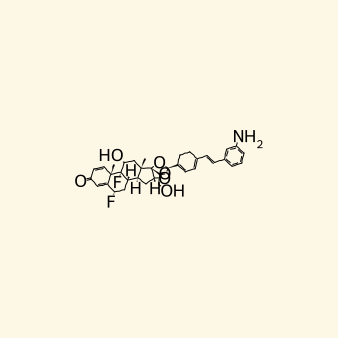 C[C@]12C=CC(=O)C=C1[C@@H](F)C[C@H]1[C@@H]3C[C@H]4O[C@H](C5=CC=C(/C=C/c6cccc(N)c6)CC5)O[C@@]4(C(=O)CO)[C@@]3(C)C[C@H](O)[C@@]12F